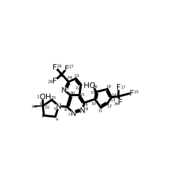 C[C@]1(O)CCN(c2nnc(-c3ccc(C(F)(F)F)cc3O)c3ccc(C(F)(F)F)nc23)C1